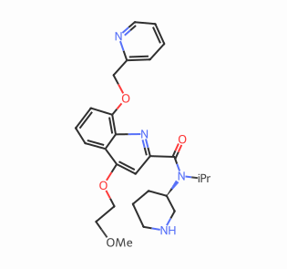 COCCOc1cc(C(=O)N(C(C)C)[C@@H]2CCCNC2)nc2c(OCc3ccccn3)cccc12